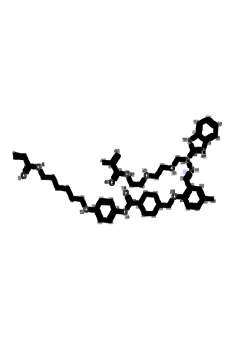 C=CC(=O)OCCCCCCOc1ccc(OC(=O)C2CCC(COc3ccc(C)cc3/C=N/N(COCCOCCOC(=O)C(=C)C)c3nc4ccccc4s3)CC2)cc1